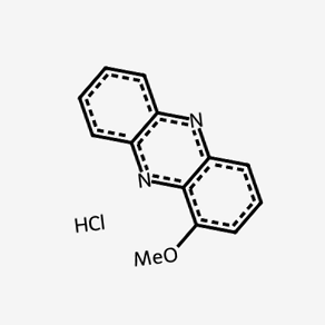 COc1cccc2nc3ccccc3nc12.Cl